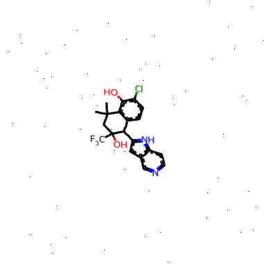 CC1(C)CC(O)(C(F)(F)F)C(c2cc3cnccc3[nH]2)c2ccc(Cl)c(O)c21